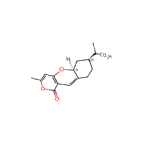 Cc1cc2c(c(=O)o1)C=C1CC[C@H](C(C)C(=O)O)C[C@@H]1O2